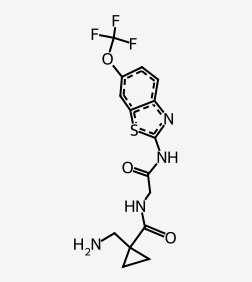 NCC1(C(=O)NCC(=O)Nc2nc3ccc(OC(F)(F)F)cc3s2)CC1